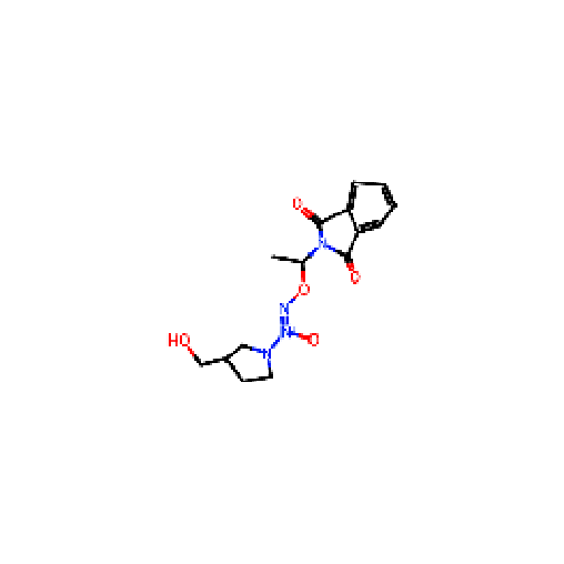 CC(O/N=[N+](\[O-])N1CCC(CO)C1)N1C(=O)c2ccccc2C1=O